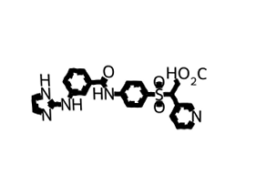 O=C(O)CC(c1cccnc1)S(=O)(=O)c1ccc(NC(=O)c2cccc(Nc3ncc[nH]3)c2)cc1